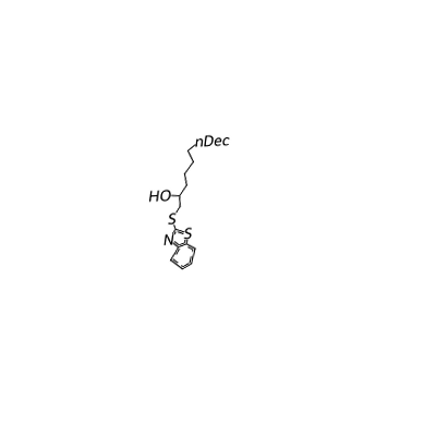 CCCCCCCCCCCCCCC(O)CSc1nc2ccccc2s1